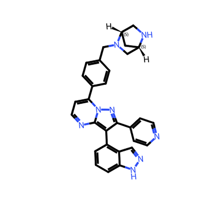 c1cc(-c2c(-c3ccncc3)nn3c(-c4ccc(CN5C[C@@H]6C[C@H]5CN6)cc4)ccnc23)c2cn[nH]c2c1